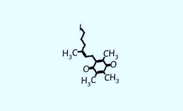 CC(=CCC1=C(C)C(=O)C(C)=C(C)C1=O)CCCI